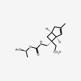 CC(=O)O[C@H](C)OC(=O)NC[C@]1(CC(=O)O)C[C@H]2CC(C)=C[C@H]21